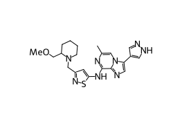 COCC1CCCCN1Cc1cc(Nc2nc(C)cn3c(-c4cn[nH]c4)cnc23)sn1